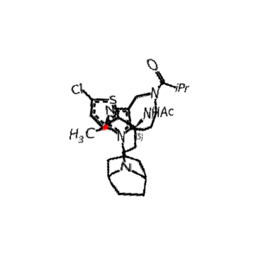 CC(=O)N[C@@H](CCN1C2CCC1CC(n1c(C)nc3c1CCN(C(=O)C(C)C)C3)C2)c1ccc(Cl)s1